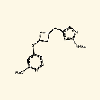 COc1cc(OC2CN(Cc3cnc(NC(C)=O)s3)C2)ccn1